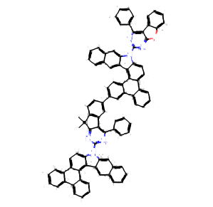 CC1(C)c2ccc(-c3ccc4c(c3)c3ccccc3c3ccc5c(c6cc7ccccc7cc6n5-c5nc(-c6ccccc6)c6c(n5)oc5ccccc56)c34)cc2-c2c(-c3ccccc3)nc(-n3c4cc5ccccc5cc4c4c5c6ccccc6c6ccccc6c5ccc43)nc21